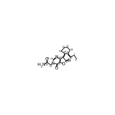 CCc1nc2oc3c(=O)n(CC(N)=O)cnc3c2c2c1CCCC2